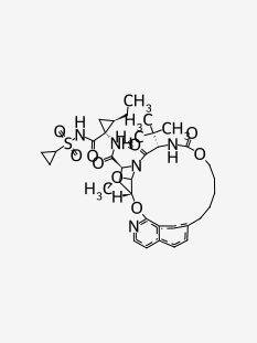 CC[C@@H]1C[C@]1(NC(=O)[C@@H]1C[C@H]2Oc3nccc4ccc(cc34)CCCCCOC(=O)N[C@@H](C(C)(C)C)C(=O)N1C2OC)C(=O)NS(=O)(=O)C1CC1